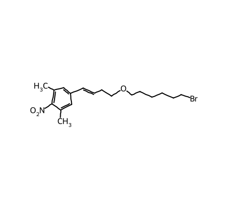 Cc1cc(/C=C/CCOCCCCCCBr)cc(C)c1[N+](=O)[O-]